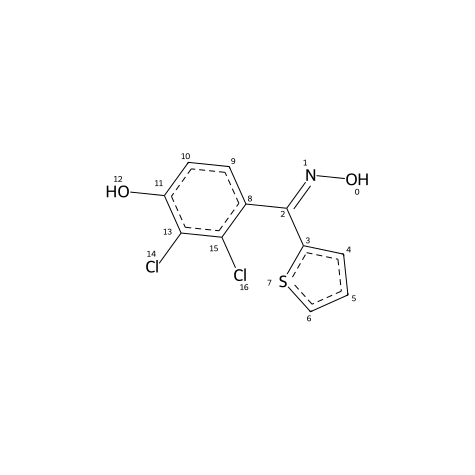 ON=C(c1cccs1)c1ccc(O)c(Cl)c1Cl